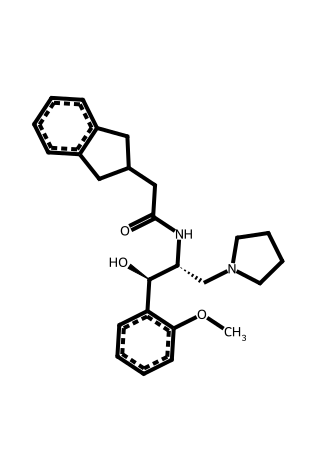 COc1ccccc1[C@@H](O)[C@@H](CN1CCCC1)NC(=O)CC1Cc2ccccc2C1